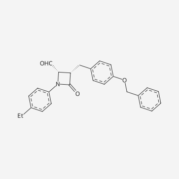 CCc1ccc(N2C(=O)[C@@H](Cc3ccc(OCc4ccccc4)cc3)[C@H]2C=O)cc1